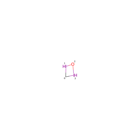 C1[IH]O[IH]1